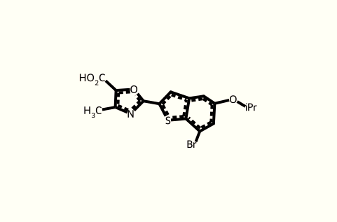 Cc1nc(-c2cc3cc(OC(C)C)cc(Br)c3s2)oc1C(=O)O